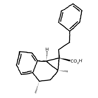 C[C@H]1C[C@@]2(C)[C@@H](c3ccccc31)[C@@]2(CCc1ccccc1)C(=O)O